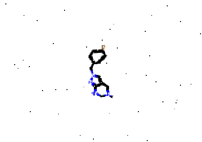 CN1CNc2nn(Cc3ccc(Br)cc3)cc2C1